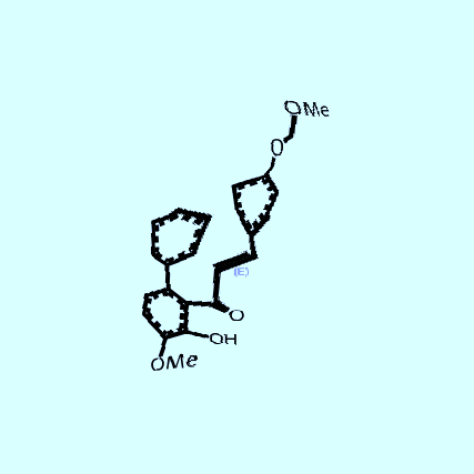 COCOc1ccc(/C=C/C(=O)c2c(-c3ccccc3)ccc(OC)c2O)cc1